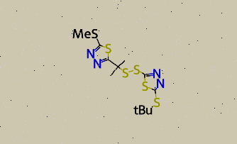 CSc1nnc(C(C)(C)SSc2nnc(SC(C)(C)C)s2)s1